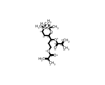 C=C(C)C(=O)OCCC(OC(=O)C(=C)C)C1CC[Si](C)(C)[Si](C)(C)O1